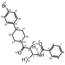 CC(NC(=O)c1ccccc1)C(C)C(=O)N1CCC(c2ccc(Br)cc2)CC1